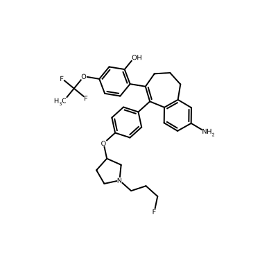 CC(F)(F)Oc1ccc(C2=C(c3ccc(OC4CCN(CCCF)C4)cc3)c3ccc(N)cc3CCC2)c(O)c1